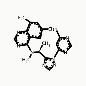 C[C@@H](c1ncnn1-c1cc(Cl)ncn1)N(C)c1ncnc2c(C(F)(F)F)cc(Cl)cc12